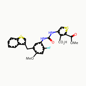 COC(=O)c1scc(NC(=O)Nc2cc(Cc3csc4ccccc34)c(OC)cc2F)c1C(=O)O